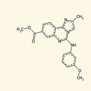 COC(=O)c1ccc2c(c1)nc(Nc1cccc(OC)c1)n1cc(C)nc21